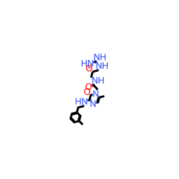 Cc1cccc(CCNc2ncc(C)n(CC(=O)NCC3CNC(=N)NO3)c2=O)c1